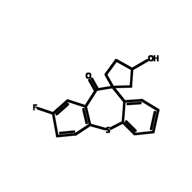 O=C1c2cc(F)ccc2Sc2ccccc2C12CCC(O)C2